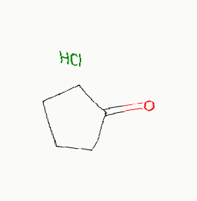 Cl.O=C1CCCC1